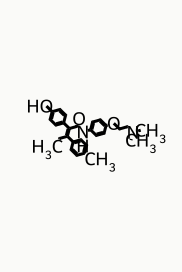 CCC(=C(C(=O)Nc1ccc(OCCN(C)C)cc1)c1ccc(O)cc1)c1ccc(C)cc1